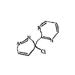 ClC1(c2ncccn2)C=CN=N1